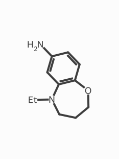 CCN1CCCOc2ccc(N)cc21